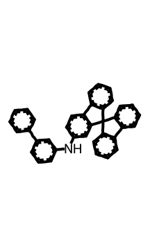 c1ccc(-c2cccc(Nc3ccc4c(c3)C3(c5ccccc5-c5ccccc53)c3ccccc3-4)c2)cc1